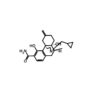 C=C1CC[C@@]2(O)[C@H]3Cc4ccc(C(N)=O)c(O)c4[C@@]2(CC[N+]3(C)CC2CC2)C1